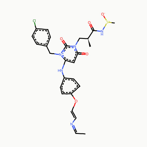 C/C=N\C=C\Oc1ccc(Nc2cc(=O)n(C[C@H](C)C(=O)N[S+](C)[O-])c(=O)n2Cc2ccc(Cl)cc2)cc1